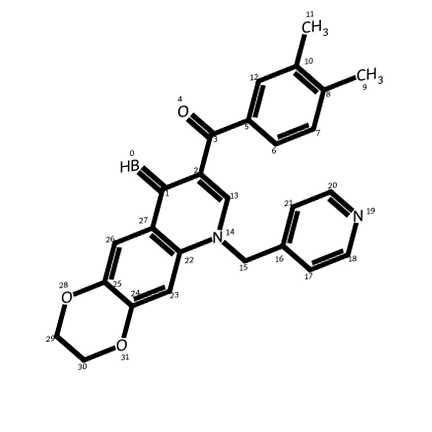 B=C1C(C(=O)c2ccc(C)c(C)c2)=CN(Cc2ccncc2)c2cc3c(cc21)OCCO3